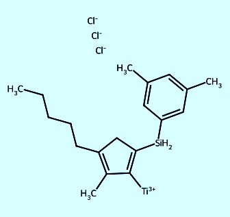 CCCCCC1=C(C)[C]([Ti+3])=C([SiH2]c2cc(C)cc(C)c2)C1.[Cl-].[Cl-].[Cl-]